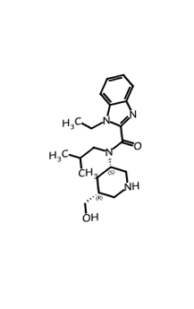 CCn1c(C(=O)N(CC(C)C)[C@@H]2CNC[C@H](CO)C2)nc2ccccc21